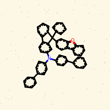 c1ccc(-c2ccc(N(c3ccc(-c4ccccc4)cc3)c3ccc4c(c3)C(c3ccccc3)(c3ccc5c(c3)oc3ccccc35)c3ccccc3-4)cc2)cc1